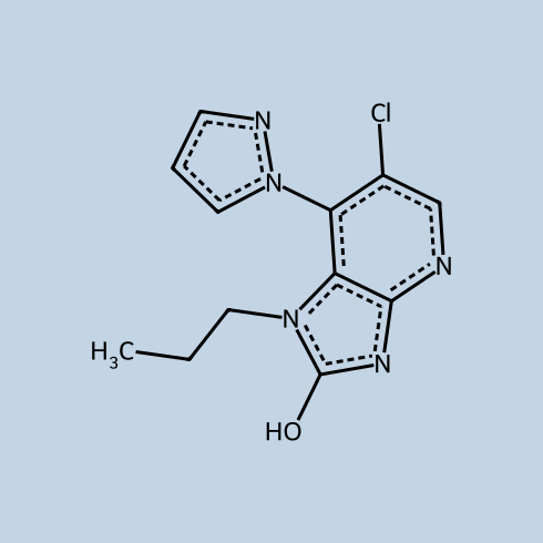 CCCn1c(O)nc2ncc(Cl)c(-n3cccn3)c21